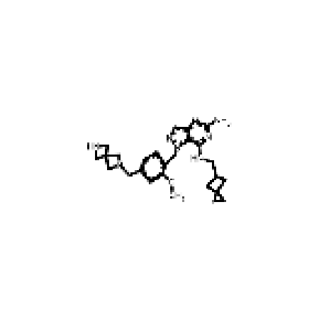 COc1cc(CN2CC3(CNC3)C2)ccc1Cn1ncc2nc(N)nc(NCC3CC4(CC4)C3)c21